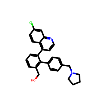 OCc1cccc(-c2ccnc3cc(Cl)ccc23)c1-c1ccc(CN2CCCC2)cc1